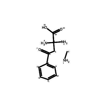 CN.NC(N)(CC(=O)c1ccccc1)C(=O)O